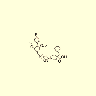 CCOc1cc(CN2CC3(CC(N4CCC(Cc5ccccc5)(C(=O)O)CC4)=NO3)C2)cc(OCC)c1-c1ccc(F)cc1